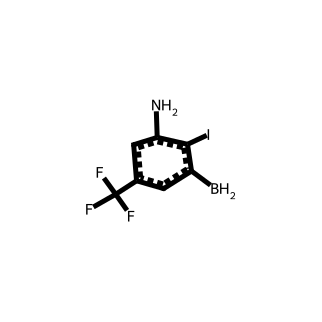 Bc1cc(C(F)(F)F)cc(N)c1I